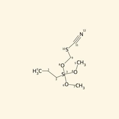 CCC[Si](OC)(OC)OCSC#N